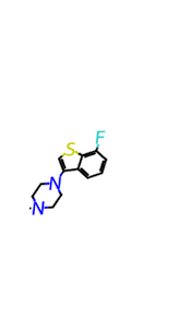 Fc1cccc2c(N3CC[N]CC3)csc12